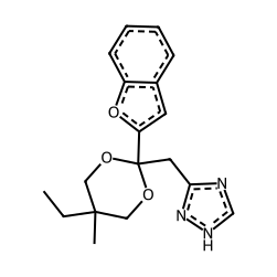 CCC1(C)COC(Cc2nc[nH]n2)(c2cc3ccccc3o2)OC1